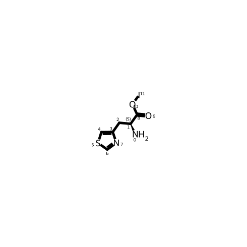 N[C@@H](Cc1cscn1)C(=O)OI